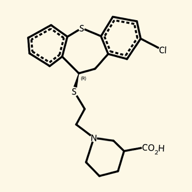 O=C(O)C1CCCN(CCS[C@@H]2Cc3cc(Cl)ccc3Sc3ccccc32)C1